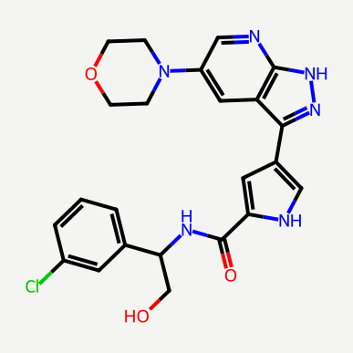 O=C(NC(CO)c1cccc(Cl)c1)c1cc(-c2n[nH]c3ncc(N4CCOCC4)cc23)c[nH]1